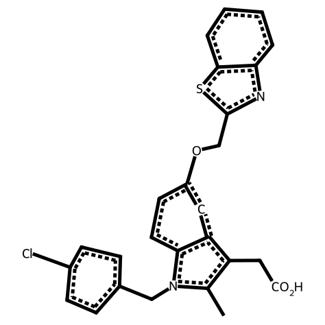 Cc1c(CC(=O)O)c2cc(OCc3nc4ccccc4s3)ccc2n1Cc1ccc(Cl)cc1